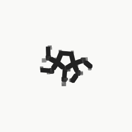 COC1(OC)CCC(OC)(OC)N1[O]